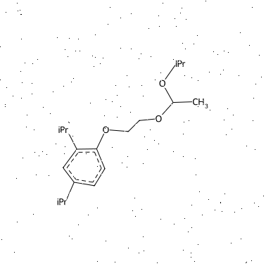 CC(C)OC(C)OCCOc1ccc(C(C)C)cc1C(C)C